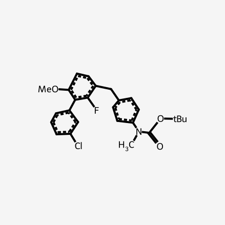 COc1ccc(Cc2ccc(N(C)C(=O)OC(C)(C)C)cc2)c(F)c1-c1cccc(Cl)c1